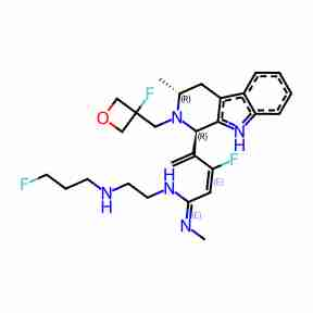 C=C(/C(F)=C\C(=N/C)NCCNCCCF)[C@@H]1c2[nH]c3ccccc3c2C[C@@H](C)N1CC1(F)COC1